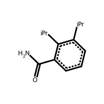 CC(C)c1cccc(C(N)=O)c1C(C)C